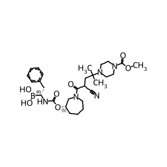 COC(=O)N1CCN(C(C)(C)CC(C#N)C(=O)N2CCCC[C@H](OC(=O)N[C@@H](Cc3ccccc3)B(O)O)C2)CC1